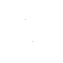 Cl.Cl.NC(=O)CCSSCCC(N)=O